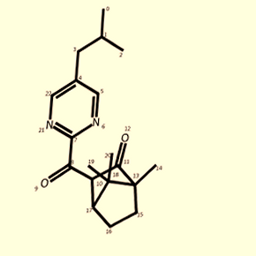 CC(C)Cc1cnc(C(=O)C2C(=O)C3(C)CCC2C3(C)C)nc1